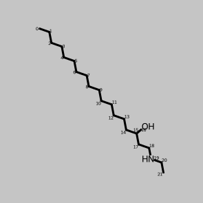 CCCCCCCCCCCCCCCC(O)CCNCC